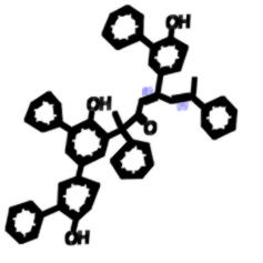 C/C(=C\C(=C/C(=O)C(C)(c1ccccc1)c1cc(-c2ccc(O)c(-c3ccccc3)c2)cc(-c2ccccc2)c1O)c1ccc(O)c(-c2ccccc2)c1)c1ccccc1